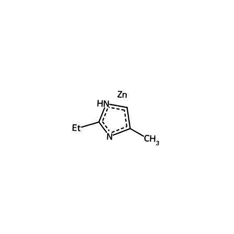 CCc1nc(C)c[nH]1.[Zn]